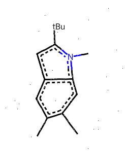 Cc1cc2cc(C(C)(C)C)n(C)c2cc1C